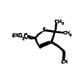 CCOC(=O)C1C=C(CC#N)C(C)(C)S1